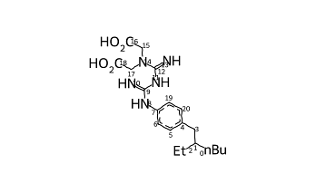 CCCCC(CC)Cc1ccc(NC(=N)NC(=N)N(CC(=O)O)CC(=O)O)cc1